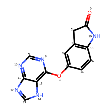 O=C1Cc2cc(Oc3ncnc4nc[nH]c34)ccc2N1